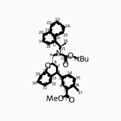 COC(=O)c1cc(C2C[C@@H](CN(C(=O)OC(C)(C)C)[C@H](C)c3cccc4ccccc34)Oc3ccccc32)ccc1C